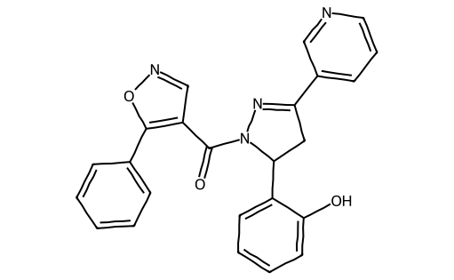 O=C(c1cnoc1-c1ccccc1)N1N=C(c2cccnc2)CC1c1ccccc1O